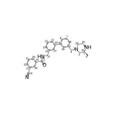 C[C@H]1CN(Cc2cccc(-c3cccc(CNC(=O)c4cccc(C#N)c4)c3)c2)CCN1